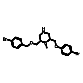 CN1C(COCc2ccc(Br)cc2)CNCC1COc1ccc(Br)cc1